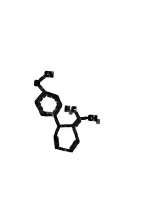 CC(C)=C1C=CC=CC1c1ccc(OC#N)cc1